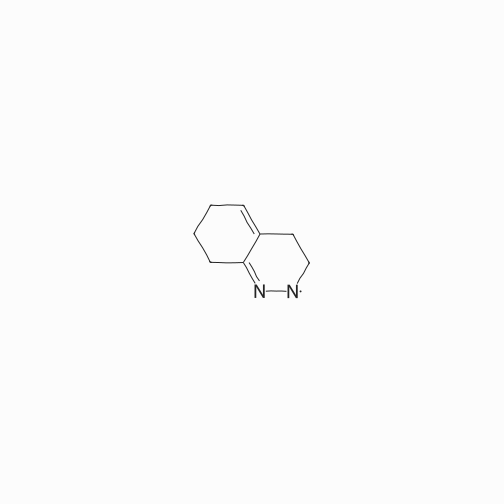 C1=C2CC[N]N=C2CCC1